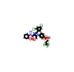 O=C(N[C@@H]1CCCC[C@@H]1O)c1nc(-c2ccc(Cl)cc2Cl)n(-c2ccc(OS(=O)(=O)CCC(F)(F)F)cc2)c1CO